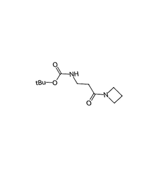 CC(C)(C)OC(=O)NCCC(=O)N1CCC1